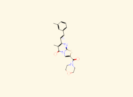 Cc1cccc(/C=C/c2nc3sc(C(=O)N4CCOCC4)cn3c(=O)c2C)c1